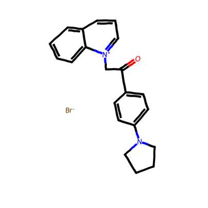 O=C(C[n+]1cccc2ccccc21)c1ccc(N2CCCC2)cc1.[Br-]